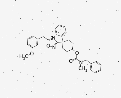 COc1cccc(Cc2nc(C3(c4ccccc4)CCC(OC(=O)N(C)Cc4ccccc4)CC3)no2)c1